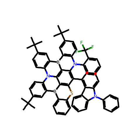 CC(C)(C)c1ccc2c(c1)B1c3ccccc3Sc3c1c1c4c(c3-c3cccc5c3c3ccccc3n5-c3ccccc3)N(c3ccccc3C(F)(F)F)c3ccc(C(C)(C)C)cc3B4c3cc(C(C)(C)C)ccc3N21